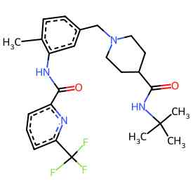 Cc1ccc(CN2CCC(C(=O)NC(C)(C)C)CC2)cc1NC(=O)c1cccc(C(F)(F)F)n1